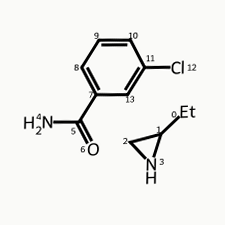 CCC1CN1.NC(=O)c1cccc(Cl)c1